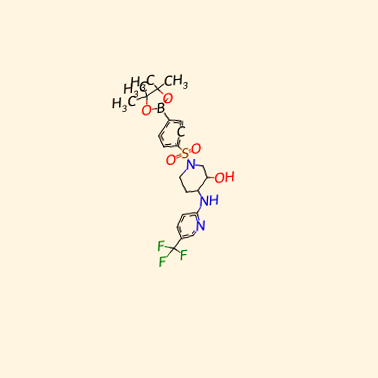 CC1(C)OB(c2ccc(S(=O)(=O)N3CCC(Nc4ccc(C(F)(F)F)cn4)C(O)C3)cc2)OC1(C)C